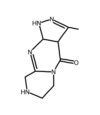 CC1=NNC2N=C3CNCCN3C(=O)C12